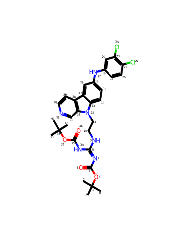 CC(C)(C)OC(=O)/N=C(/NCCn1c2ccc(Nc3ccc(Cl)c(Cl)c3)cc2c2ccncc21)NC(=O)OC(C)(C)C